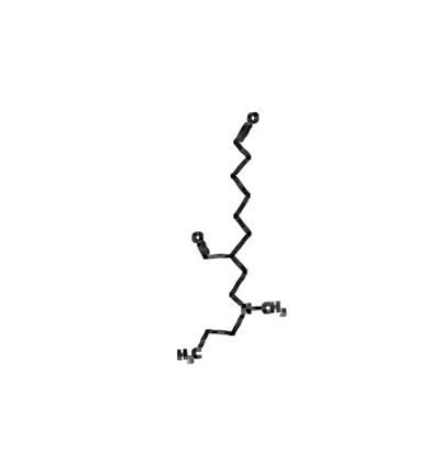 CCCN(C)CCC(C=O)CCCCCC=O